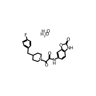 O.O.O=C(Nc1ccc2[nH]c(=O)oc2c1)C(=O)N1CCC(Cc2ccc(F)cc2)CC1